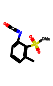 COS(=O)(=O)c1c(C)cccc1N=C=O